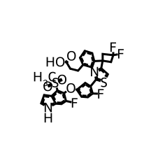 CS(=O)(=O)c1c(Oc2ccc(F)c(-c3nc(C4(c5cccc(CCC(=O)O)c5)CC(F)(F)C4)cs3)c2)c(F)cc2[nH]ccc12